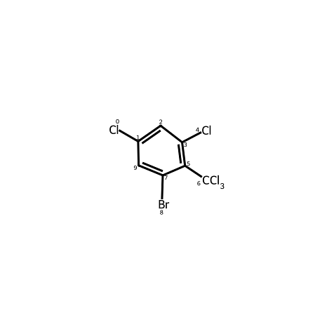 Clc1cc(Cl)c(C(Cl)(Cl)Cl)c(Br)c1